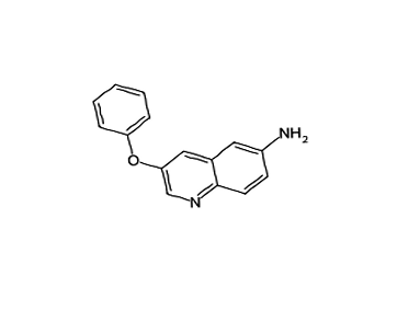 Nc1ccc2ncc(Oc3ccccc3)cc2c1